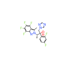 Cc1c2c(F)c(F)c(F)c(F)c2nn1[C@H](C)[C@](O)(Cn1cncn1)c1ccc(F)cc1F